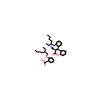 CCCCC(CC)COc1ccccc1C(=O)O.CCCCC(CC)Cc1ccccc1C(=C(C#N)C(=O)O)c1ccccc1